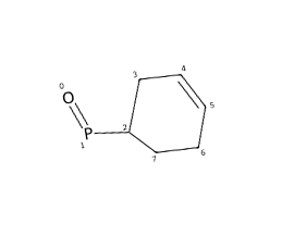 O=PC1CC=CCC1